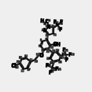 Cn1nc(-c2ccc(OCCc3ccc(Cl)cc3)c(-c3cc(C(F)(F)F)cc(C(F)(F)F)c3)c2O)cc1C(F)(F)F